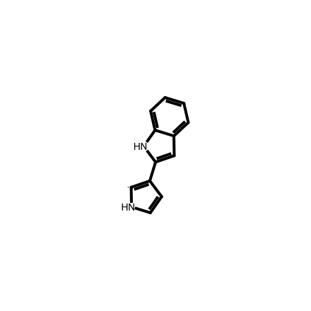 [c]1[nH]ccc1-c1cc2ccccc2[nH]1